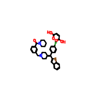 O=C(O)/C=C\C(=O)O.O=C(c1cccc(CN2CCC(=C(c3ccc(F)cc3)c3cc4ccccc4s3)CC2)c1)N1CCCCC1